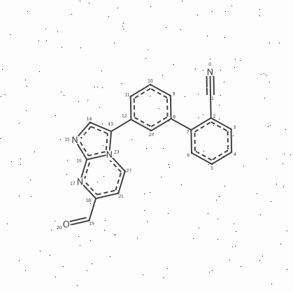 N#Cc1ccccc1-c1cccc(-c2cnc3nc(C=O)ccn23)c1